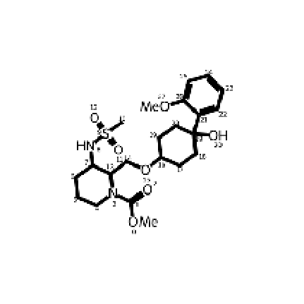 COC(=O)N1CCCC(NS(C)(=O)=O)C1COC1CCC(O)(c2ccccc2OC)CC1